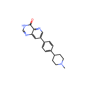 CN1CCC(c2ccc(-c3cnc4c(=O)[nH]cnc4c3)cc2)CC1